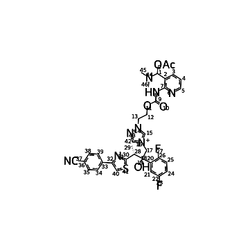 CC(=O)OC(c1cccnc1NC(=O)OCCn1c[n+](C[C@](O)(c2cc(F)ccc2F)[C@@H](C)c2nc(-c3ccc(C#N)cc3)cs2)cn1)N(C)C